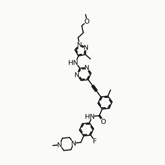 COCCCn1cc(Nc2ncc(C#Cc3cc(C(=O)Nc4ccc(CN5CCN(C)CC5)c(F)c4)ccc3C)cn2)c(C)n1